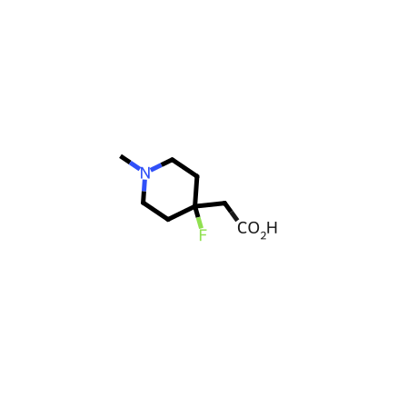 CN1CCC(F)(CC(=O)O)CC1